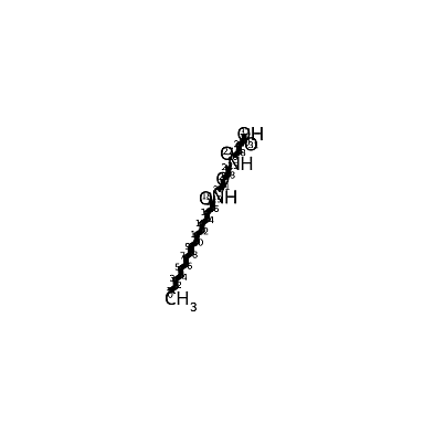 CCCCCCCCC=CCCCCCCCC(=O)NCCOCCNC(=O)CCC(=O)O